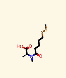 CSSCCCCC(=O)N(C)[C@@H](C)C(=O)O